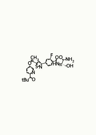 C[C@@H](Oc1ccc(C(=O)C(C)(C)C)nc1)c1cc(-c2ccc(C(=O)N[C@@H](CO)C(N)=O)c(F)c2)ns1